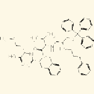 CSCC[C@H](NC(=O)[C@H]1Cc2ccccc2CN1C(=O)[C@@H](NCC(CSC(c1ccccc1)(c1ccccc1)c1ccccc1)NCCCc1ccccc1)C(C)C)C(=O)O